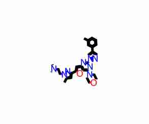 Cc1cccc(-c2cnn(-c3nc(N4CCOCC4)c4oc(-c5cc(C)n(CCN(C)C)n5)cc4n3)c2)c1